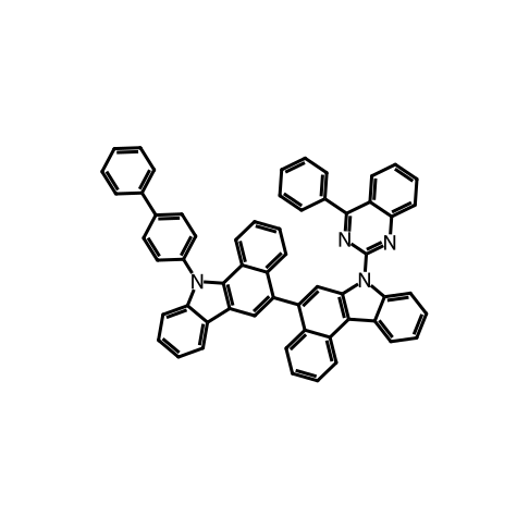 c1ccc(-c2ccc(-n3c4ccccc4c4cc(-c5cc6c(c7ccccc57)c5ccccc5n6-c5nc(-c6ccccc6)c6ccccc6n5)c5ccccc5c43)cc2)cc1